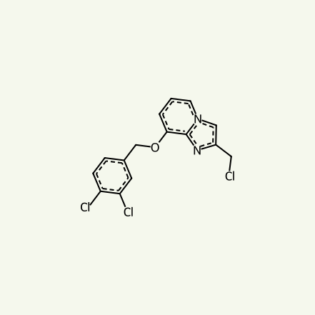 ClCc1cn2cccc(OCc3ccc(Cl)c(Cl)c3)c2n1